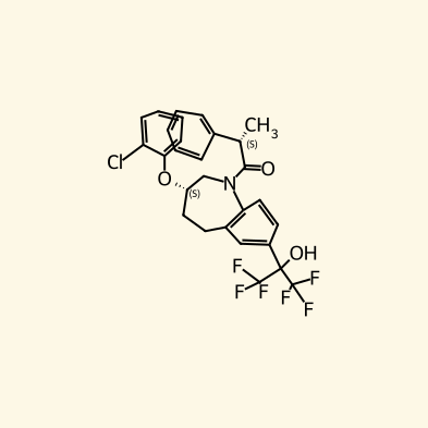 C[C@H](C(=O)N1C[C@@H](Oc2ccccc2Cl)CCc2cc(C(O)(C(F)(F)F)C(F)(F)F)ccc21)c1ccccc1